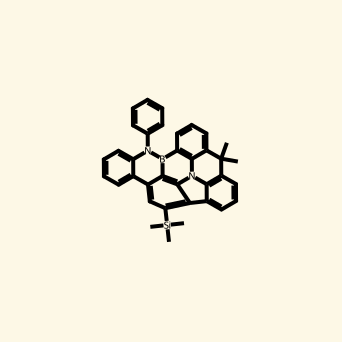 CC1(C)c2cccc3c2-n2c4c1cccc4c1c([Si](C)(C)C)cc4c(c12)B3N(c1ccccc1)c1ccccc1-4